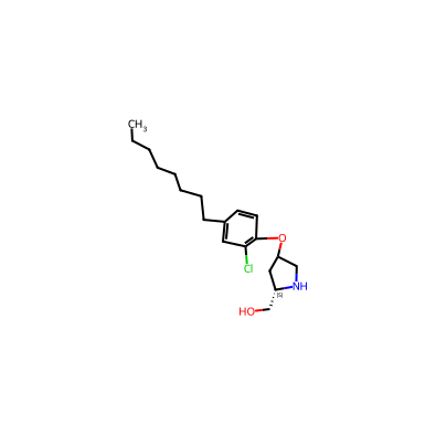 CCCCCCCCc1ccc(OC2CN[C@H](CO)C2)c(Cl)c1